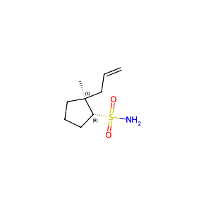 C=CC[C@]1(C)CCC[C@H]1S(N)(=O)=O